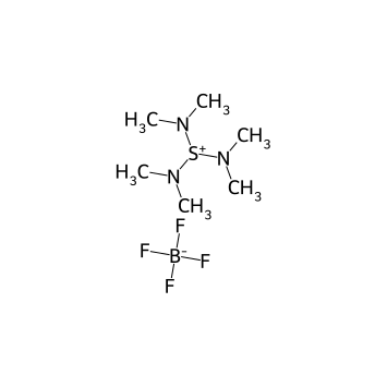 CN(C)[S+](N(C)C)N(C)C.F[B-](F)(F)F